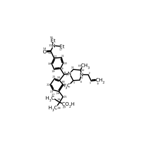 C=CCN1CC(C)N(C(c2ccc(C(=O)N(CC)CC)cc2)c2cccc(CC(C)(C)C(=O)O)c2)CC1C